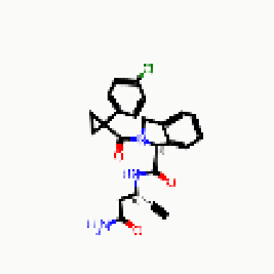 C#C[C@H](CC(N)=O)NC(=O)[C@@H]1c2ccccc2CN1C(=O)C1(c2ccc(Cl)cc2)CC1